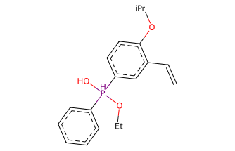 C=Cc1cc([PH](O)(OCC)c2ccccc2)ccc1OC(C)C